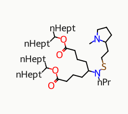 CCCCCCCC(CCCCCCC)OC(=O)CCCC(CCCC(=O)OC(CCCCCCC)CCCCCCC)N(CCC)SCCC1CCCN1C